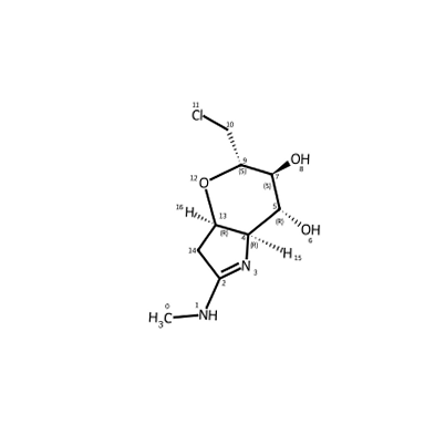 CNC1=N[C@@H]2[C@@H](O)[C@H](O)[C@@H](CCl)O[C@@H]2C1